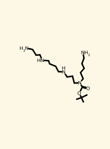 CC(C)(C)OC(=O)N(CCCCCN)CCCNCCCCNCCCN